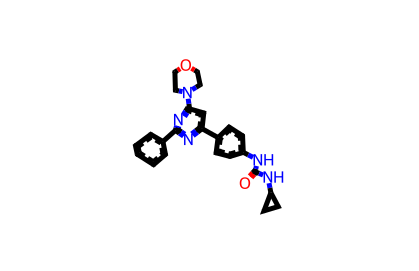 O=C(Nc1ccc(-c2cc(N3CCOCC3)nc(-c3ccccc3)n2)cc1)NC1CC1